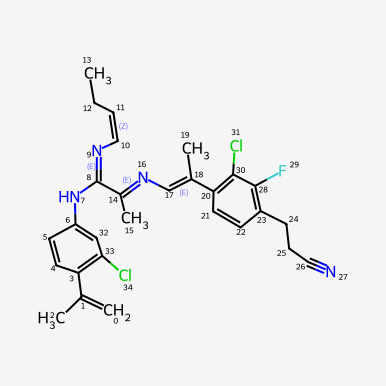 C=C(C)c1ccc(NC(=N/C=C\CC)/C(C)=N/C=C(\C)c2ccc(CCC#N)c(F)c2Cl)cc1Cl